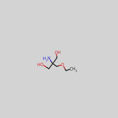 CCOCC(N)(CO)CO